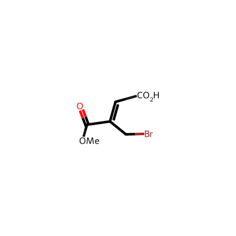 COC(=O)C(=CC(=O)O)CBr